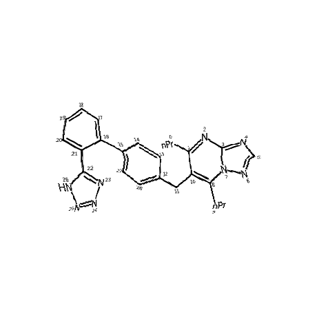 CCCc1nc2ncnn2c(CCC)c1Cc1ccc(-c2ccccc2-c2nnn[nH]2)cc1